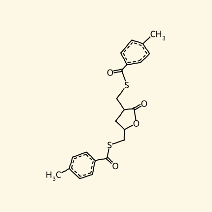 Cc1ccc(C(=O)SCC2CC(CSC(=O)c3ccc(C)cc3)C(=O)O2)cc1